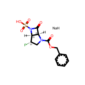 O=C(OCc1ccccc1)N1C[C@H](F)[C@@H]2[C@H]1C(=O)N2S(=O)(=O)O.[NaH]